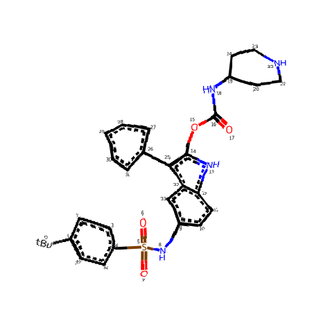 CC(C)(C)c1ccc(S(=O)(=O)Nc2ccc3[nH]c(OC(=O)NC4CCNCC4)c(-c4ccccc4)c3c2)cc1